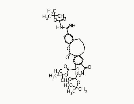 CC(C)(C)OC(=O)C[C@H](C(=O)OC(C)(C)C)c1cc2c(cc1C(N)=O)CCCCc1cc(C(=N)NC(=O)OC(C)(C)C)ccc1OC2=O